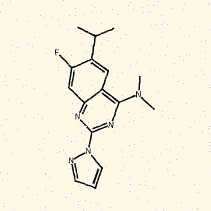 CC(C)c1cc2c(N(C)C)nc(-n3cccn3)nc2cc1F